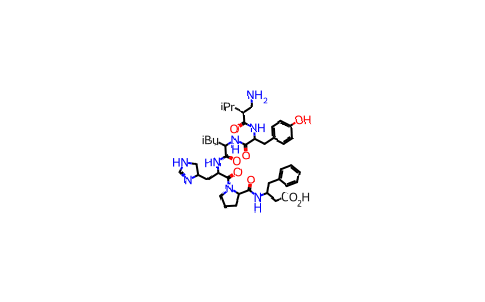 CCC(C)C(NC(=O)C(Cc1ccc(O)cc1)NC(=O)C(CN)C(C)C)C(=O)NC(CC1CNC=N1)C(=O)N1CCCC1C(=O)NC(CC(=O)O)Cc1ccccc1